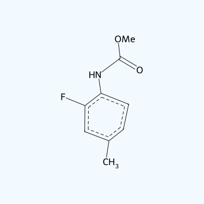 COC(=O)Nc1ccc(C)cc1F